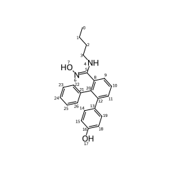 CCCCNC(=NO)c1cccc(-c2ccc(O)cc2)c1-c1ccccc1